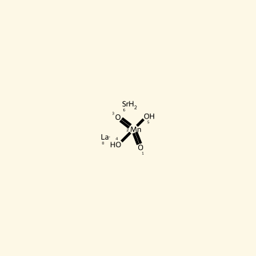 [La].[O]=[Mn](=[O])([OH])[OH].[SrH2]